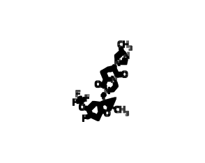 Cc1cn(-c2ccc3n(c2=O)CCN(C[C@]24C[C@@]2(C)Oc2cc(F)c(OC(F)(F)F)cc24)C3=O)cn1